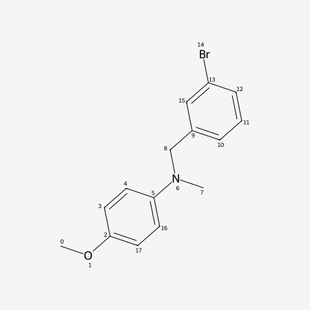 COc1ccc(N(C)Cc2cccc(Br)c2)cc1